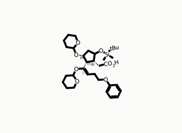 CC(C)(C)[Si](C)(C)OC1C[C@@H](OC2CCCCO2)[C@@H](/C(=C\CCOc2ccccc2)OC2CCCCO2)[C@H]1CC(=O)O